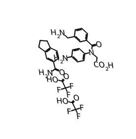 NC(=O)c1ccc2c(c1)CCC2.NCc1cccc(C(=O)N(CC(=O)O)c2ccc(N)cc2)c1.O=C(O)C(F)(F)F.O=C(O)C(F)(F)F